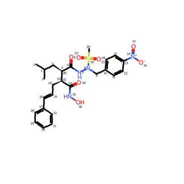 CC(C)C[C@@H](C(=O)NN(Cc1ccc([N+](=O)[O-])cc1)S(C)(=O)=O)[C@H](CC=Cc1ccccc1)C(=O)NO